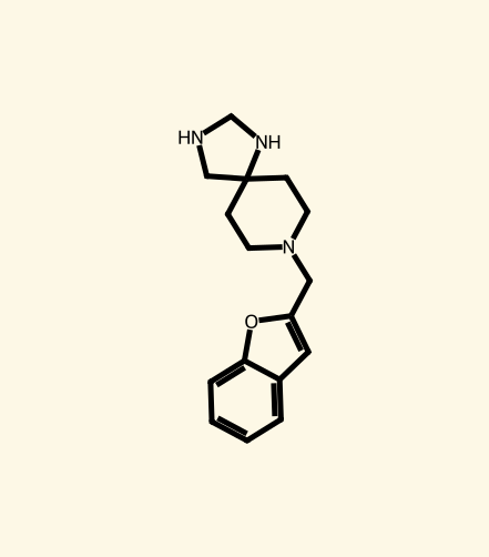 c1ccc2oc(CN3CCC4(CC3)CNCN4)cc2c1